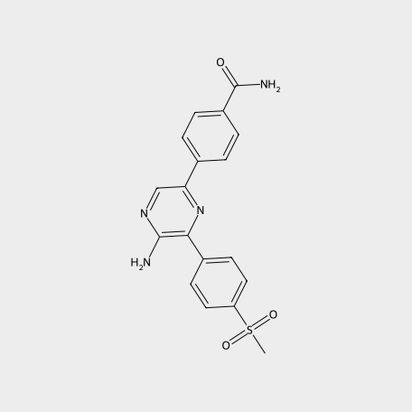 CS(=O)(=O)c1ccc(-c2nc(-c3ccc(C(N)=O)cc3)cnc2N)cc1